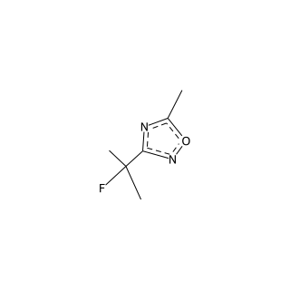 Cc1nc(C(C)(C)F)no1